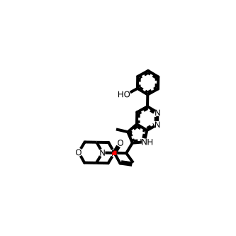 C=CC(=O)N1C2COCC1CN(C(C)c1[nH]c3nnc(-c4ccccc4O)cc3c1C)C2